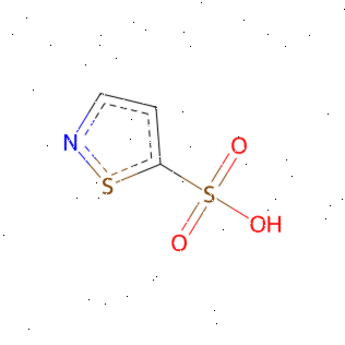 O=S(=O)(O)c1ccns1